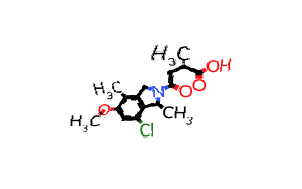 COc1cc(Cl)c2c(c1C)CN(C(=O)C[C@H](C)C(=O)O)C2C